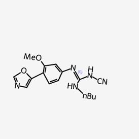 CCCCN/C(=N\c1ccc(-c2cnco2)c(OC)c1)NC#N